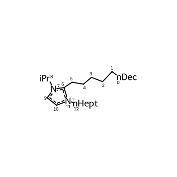 CCCCCCCCCCCCCCCc1n(C(C)C)cc[n+]1CCCCCCC